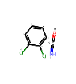 Clc1ccccc1Cl.N=C=O